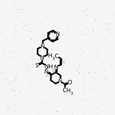 C\C=C/N=C1\CN(C(C)=O)CC\C1=N\NC(=S)N1CCN(Cc2ccncc2)CC1